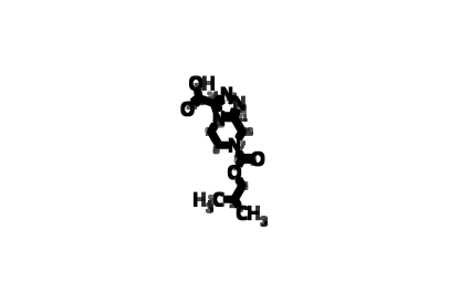 CC(C)COC(=O)N1CCn2c(nnc2C(=O)O)C1